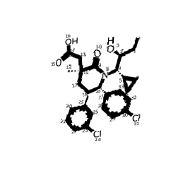 CC[C@H](O)[C@H](C1CC1)N1C(=O)[C@](C)(CC(=O)O)C[C@H](c2cccc(Cl)c2)[C@H]1c1ccc(Cl)cc1